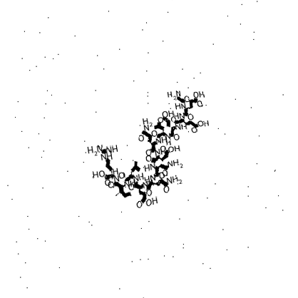 CC[C@H](C)[C@H](NC(=O)[C@H](CC(C)C)NC(=O)[C@H](CCC(=O)O)NC(=O)[C@H](CCC(N)=O)NC(=O)[C@H](CC(N)=O)NC(=O)[C@H](CCC(=O)O)NC(=O)[C@H](CCC(N)=O)NC(=O)[C@H](CC(C)C)NC(=O)[C@H](CCC(=O)O)NC(=O)[C@H](CCC(=O)O)NC(=O)[C@H](CCC(=O)O)NC(=O)CN)C(=O)N[C@@H](CCCNC(=N)N)C(=O)O